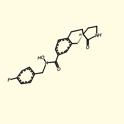 O=C(c1ccc2c(c1)C[C@@]1(CCNC1=O)CC2)N(O)Cc1ccc(F)cc1